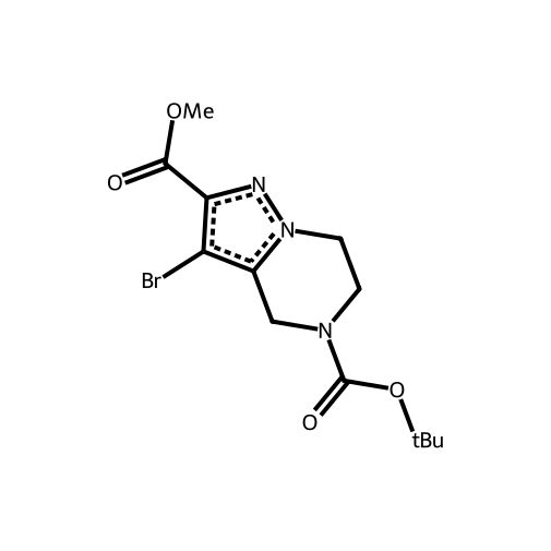 COC(=O)c1nn2c(c1Br)CN(C(=O)OC(C)(C)C)CC2